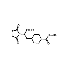 CCOC(=O)C(CC1CCN(C(=O)OC(C)(C)C)CC1)N1C(=O)CSC1=O